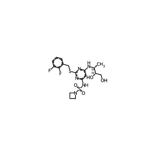 C[C@H](Nc1cc(NS(=O)(=O)N2CCC2)nc(SCc2cccc(F)c2F)n1)[C@H](O)CO